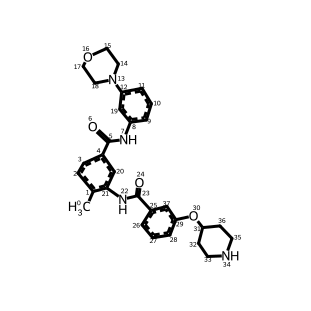 Cc1ccc(C(=O)Nc2cccc(N3CCOCC3)c2)cc1NC(=O)c1cccc(OC2CCNCC2)c1